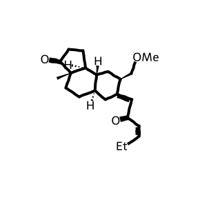 CC/C=C\C(=O)/C=C1\C[C@H]2CC[C@]3(C)C(=O)CC[C@H]3[C@@H]2C[C@H]1COC